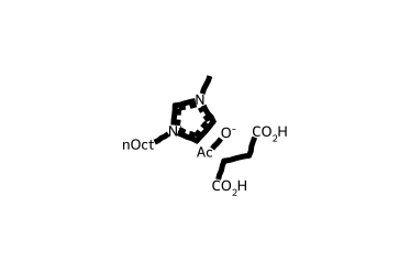 CC(=O)[O-].CCCCCCCC[n+]1ccn(C)c1.O=C(O)CCC(=O)O